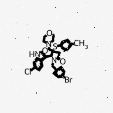 Cc1ccc(SC2(C(=O)N3CCOCC3)CC(=O)N(Cc3ccc(Br)cc3)C2c2c[nH]c3cc(Cl)ccc23)cc1